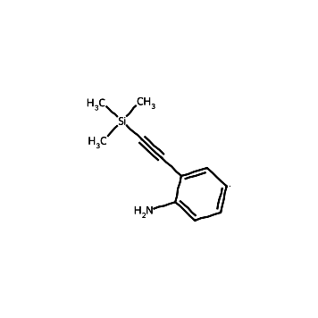 C[Si](C)(C)C#Cc1c[c]ccc1N